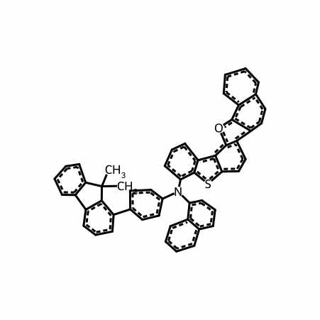 CC1(C)c2ccccc2-c2cccc(-c3ccc(N(c4cccc5ccccc45)c4cccc5c4sc4ccc6c7ccc8ccccc8c7oc6c45)cc3)c21